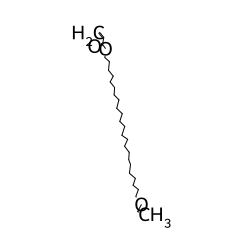 C=CC(=O)OCCCCCCCCCCCCCCCCCCCCCCCOCC